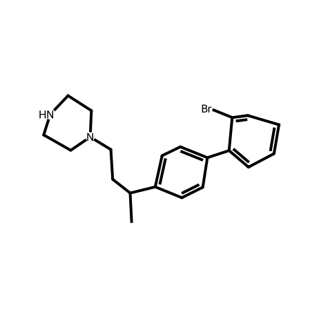 CC(CCN1CCNCC1)c1ccc(-c2ccccc2Br)cc1